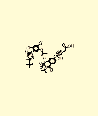 CC(C)N1C(=O)c2ccccc2NS1(=O)=O.CC(C)Oc1cc(-n2nc(C(C)(C)C)oc2=O)c(Cl)cc1Cl.O=C(O)CNCP(=O)(O)O